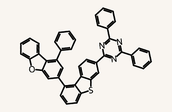 c1ccc(-c2nc(-c3ccccc3)nc(-c3ccc4c(c3)sc3cccc(-c5cc(-c6ccccc6)c6c(c5)oc5ccccc56)c34)n2)cc1